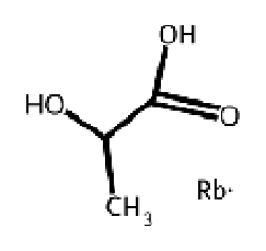 CC(O)C(=O)O.[Rb]